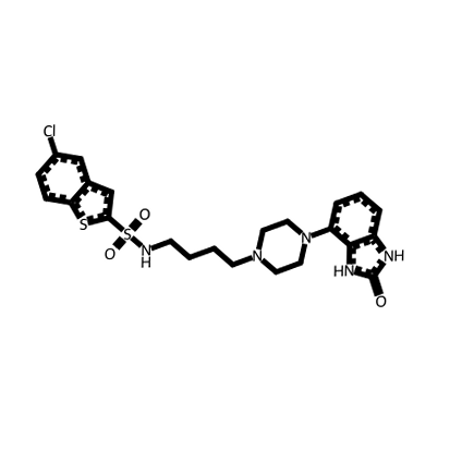 O=c1[nH]c2cccc(N3CCN(CCCCNS(=O)(=O)c4cc5cc(Cl)ccc5s4)CC3)c2[nH]1